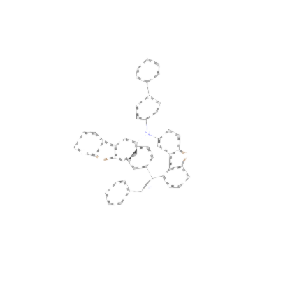 C(=C(/c1ccccc1)c1cccc2sc3ccc(N(c4ccc(-c5ccccc5)cc4)c4ccc5sc6ccccc6c5c4)cc3c12)/c1ccccc1